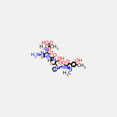 CCn1nc(C(=O)NCC[N+]2(CC3=C(C(=O)O)N4C(=O)[C@@H](NC(=O)/C(=N\OC(C)(C)C(=O)O)c5csc(N)n5)[C@H]4SC3)CCCC2)c(=O)c2cc(O)c(C)cc21